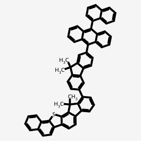 CC1(C)c2ccc(-c3cccc4c3C(C)(C)c3c-4ccc4c3sc3c5ccccc5ccc43)cc2-c2ccc(-c3c4ccccc4c(-c4cccc5ccccc45)c4ccccc34)cc21